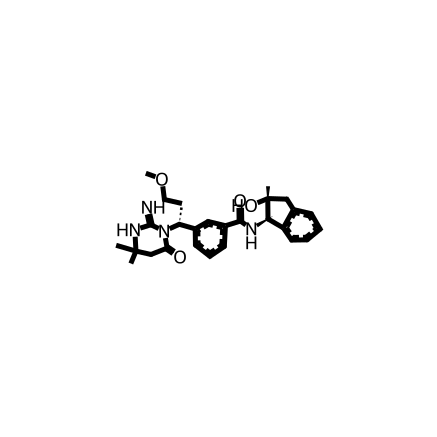 COCC[C@H](c1cccc(C(=O)N[C@@H]2c3ccccc3C[C@@]2(C)O)c1)N1C(=N)NC(C)(C)CC1=O